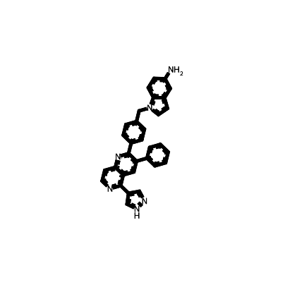 Nc1ccc2c(ccn2Cc2ccc(-c3nc4ccnc(-c5cn[nH]c5)c4cc3-c3ccccc3)cc2)c1